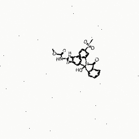 COC(=O)Nc1nc2cc(C3(O)c4ccccc4C(=O)N3c3cccc(S(C)(=O)=O)c3)ccc2[nH]1